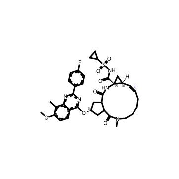 COc1ccc2c(O[C@@H]3CC4C(=O)N[C@]5(C(=O)NS(=O)(=O)C6CC6)C[C@H]5/C=C\CCCCN(C)C(=O)C4C3)nc(-c3ccc(F)cc3)nc2c1C